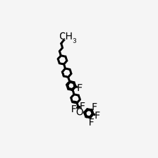 CCCCCC1CCC(C2CCC(c3ccc(C4CC=C(C(F)(F)Oc5cc(F)c(F)c(F)c5)CC4)c(F)c3)CC2)CC1